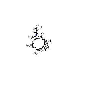 C/C(=C\c1csc(C)n1)[C@@H]1CCC(O)CCC[C@H](C)[C@H](O)[C@@H](C)C(=O)[C@H](C)CCC(=O)O1